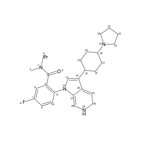 CC(C)N(C)C(=O)c1cc(F)ccc1-n1cc(C2CCC(N3CCCC3)CC2)c2c1=CNCC=2